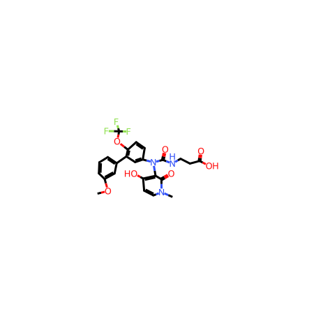 COc1cccc(-c2cc(N(C(=O)NCCC(=O)O)c3c(O)ccn(C)c3=O)ccc2OC(F)(F)F)c1